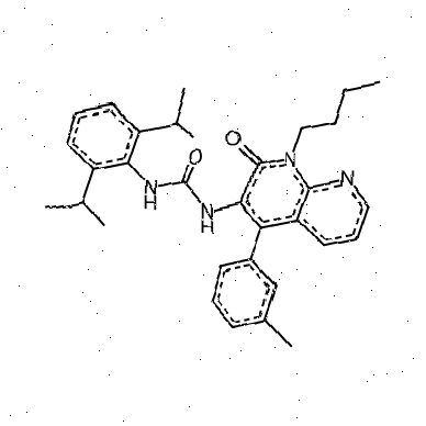 CCCCn1c(=O)c(NC(=O)Nc2c(C(C)C)cccc2C(C)C)c(-c2cccc(C)c2)c2cccnc21